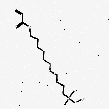 C=CC(=O)OCCCCCCCCCCC[Si](C)(C)OCC